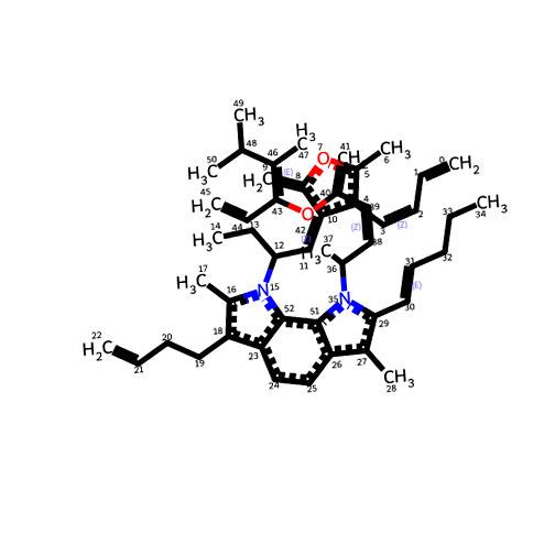 C=C/C=C\c1c(C)oc(=C)/c1=C\C(CC)n1c(C)c(CCC=C)c2ccc3c(C)c(/C=C/CCC)n(C(C)/C=C\C(=C)O/C(C=C)=C(\C)C(C)C)c3c21